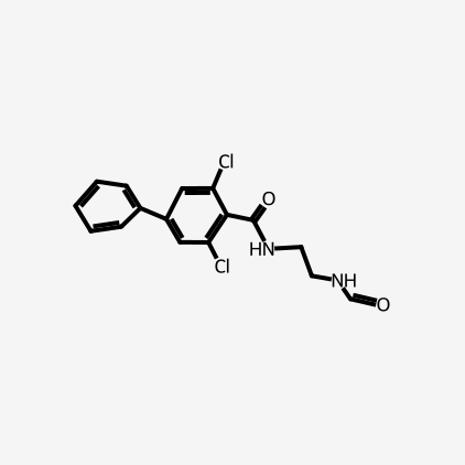 O=CNCCNC(=O)c1c(Cl)cc(-c2ccccc2)cc1Cl